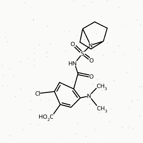 CN(C)c1cc(C(=O)O)c(Cl)cc1C(=O)NS(=O)(=O)N1C2CCC1CC2